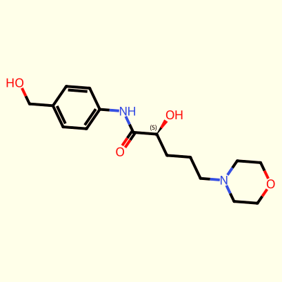 O=C(Nc1ccc(CO)cc1)[C@@H](O)CCCN1CCOCC1